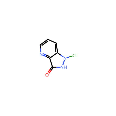 O=c1[nH]n(Cl)c2cccnc12